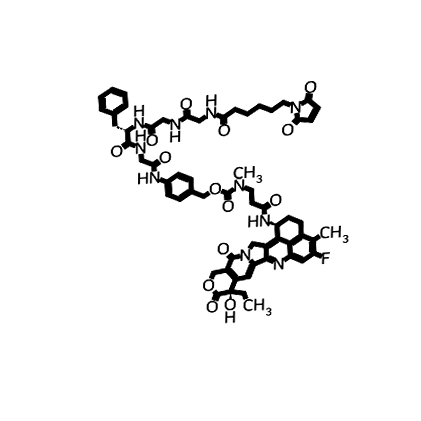 CC[C@@]1(O)C(=O)OCc2c1cc1n(c2=O)Cc2c-1nc1cc(F)c(C)c3c1c2[C@@H](NC(=O)CCN(C)C(=O)OCc1ccc(NC(=O)CNC(=O)[C@H](Cc2ccccc2)NC(=O)CNC(=O)CNC(=O)CCCCCN2C(=O)C=CC2=O)cc1)CC3